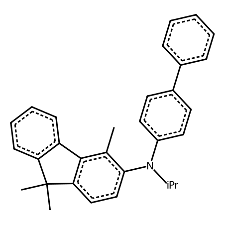 Cc1c(N(c2ccc(-c3ccccc3)cc2)C(C)C)ccc2c1-c1ccccc1C2(C)C